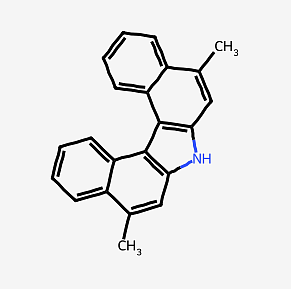 Cc1cc2[nH]c3cc(C)c4ccccc4c3c2c2ccccc12